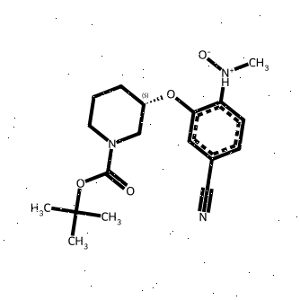 C[NH+]([O-])c1ccc(C#N)cc1O[C@H]1CCCN(C(=O)OC(C)(C)C)C1